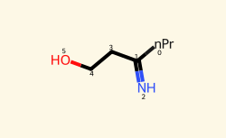 C[CH]CC(=N)CCO